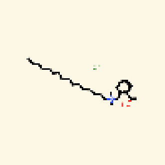 CCCCCCCCCCCCCCCC[N+](C)(C)Cc1ccccc1C(C)O.[Cl-]